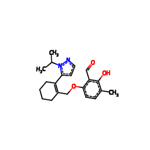 Cc1ccc(OCC2=C(c3ccnn3C(C)C)CCCC2)c(C=O)c1O